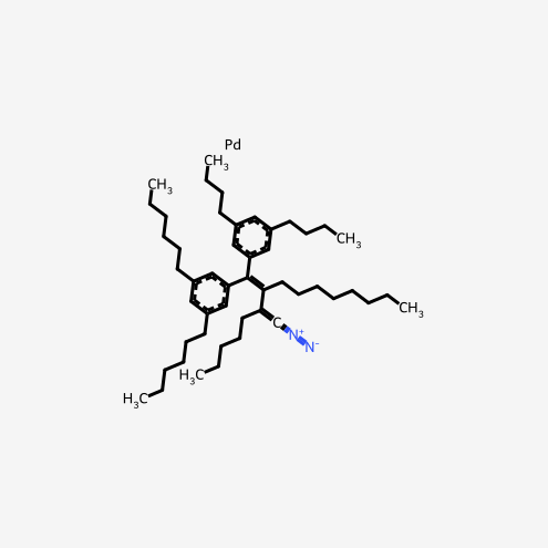 CCCCCCCCC(C(=C=[N+]=[N-])CCCCC)=C(c1cc(CCCC)cc(CCCC)c1)c1cc(CCCCCC)cc(CCCCCC)c1.[Pd]